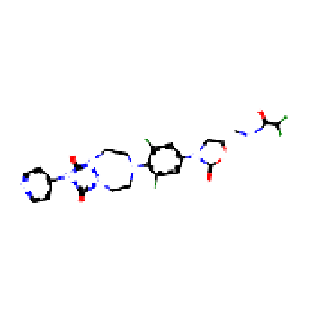 O=C(NC[C@H]1CN(c2cc(F)c(N3CCn4c(=O)n(-c5ccncc5)c(=O)n4CC3)c(F)c2)C(=O)O1)C(F)F